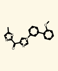 COc1ccccc1-c1cccc(-n2cnc(C(=O)c3ncc(C)s3)c2)c1